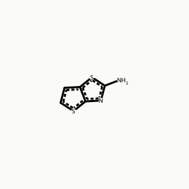 Nc1nc2sccc2s1